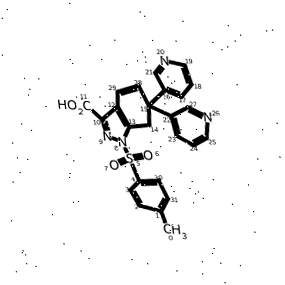 Cc1ccc(S(=O)(=O)n2nc(C(=O)O)c3c2CC(c2cccnc2)(c2cccnc2)C=C3)cc1